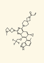 C=CC(=O)N1CC2(CCN(c3nc(N4CC5(CCN5C)C4)nc4c(OCC(F)(F)F)c(-c5c(C)ccc6[nH]ncc56)c(C5CC5)cc34)CC2)C1